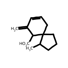 C=C1C=CCC2(CCCC2C)C1C(=O)O